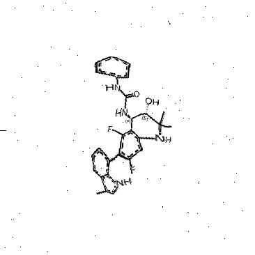 Cc1c[nH]c2c(-c3c(F)cc4c(c3F)[C@@H](NC(=O)Nc3ccccc3)[C@H](O)C(C)(C)N4)cccc12